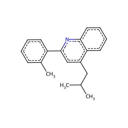 Cc1ccccc1-c1cc(CC(C)C)c2ccccc2n1